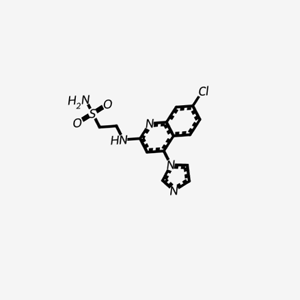 NS(=O)(=O)CCNc1cc(-n2ccnc2)c2ccc(Cl)cc2n1